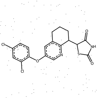 O=C1NC(=O)C(C2CCCc3cc(Oc4ccc(Cl)cc4Cl)cnc32)S1